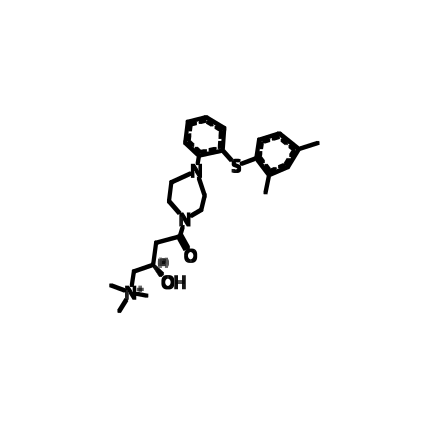 Cc1ccc(Sc2ccccc2N2CCN(C(=O)C[C@@H](O)C[N+](C)(C)C)CC2)c(C)c1